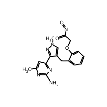 Cc1cc(-c2nn(C)cc2Cc2ccccc2OCC(=O)N=O)nc(N)n1